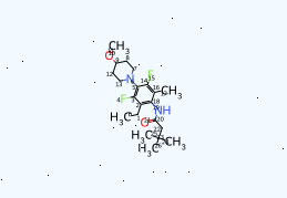 CCc1c(F)c(N2CCC(OC)CC2)c(F)c(C)c1NC(=O)CC(C)(C)C